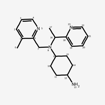 Cc1cccnc1CN(C1CCC(N)CC1)C(C)c1ccccn1